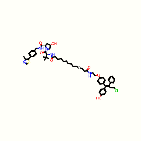 Cc1ncsc1-c1ccc(CNC(=O)[C@@H]2C[C@@H](O)CN2C(=O)[C@@H](NC(=O)CCCCCCCCCCCCC(=O)NCCOc2ccc(C(=C(CCCl)c3ccccc3)c3ccc(O)cc3)cc2)C(C)(C)C)cc1